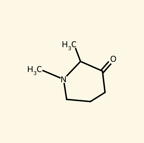 CC1C(=O)CCCN1C